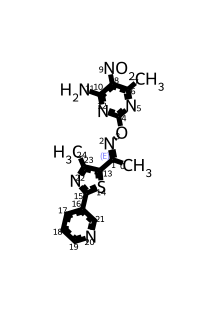 C/C(=N\Oc1nc(C)c([N+](=O)[O-])c(N)n1)c1sc(-c2cccnc2)nc1C